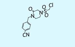 N#Cc1ccc(CN2CCN(S(=O)(=O)CCl)CC2=O)cc1